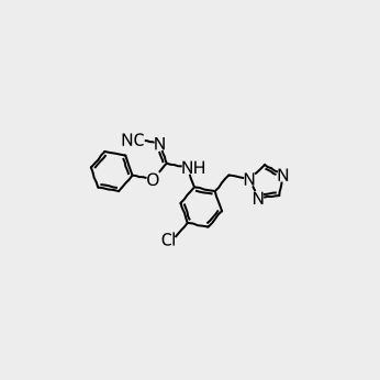 N#C/N=C(/Nc1cc(Cl)ccc1Cn1cncn1)Oc1ccccc1